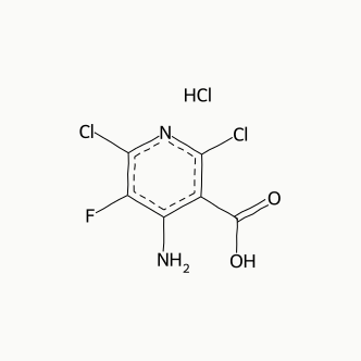 Cl.Nc1c(F)c(Cl)nc(Cl)c1C(=O)O